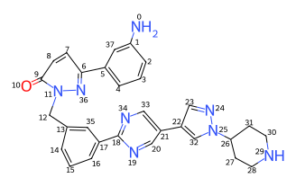 Nc1cccc(-c2ccc(=O)n(Cc3cccc(-c4ncc(-c5cnn(C6CCNCC6)c5)cn4)c3)n2)c1